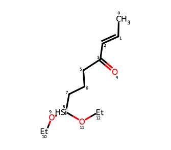 CC=CC(=O)CCC[SiH](OCC)OCC